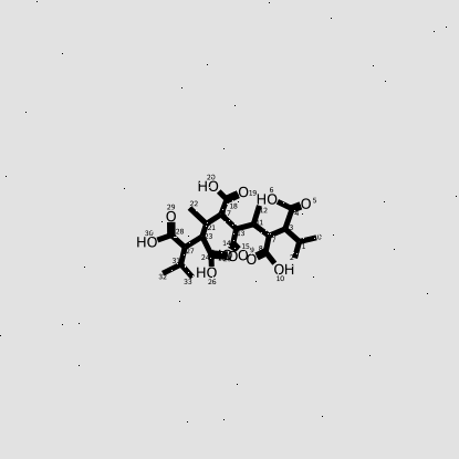 CC(C)C(C(=O)O)C(C(=O)O)C(C)C(C(=O)O)C(C(=O)O)C(C)C(C(=O)O)C(C(=O)O)C(C)C